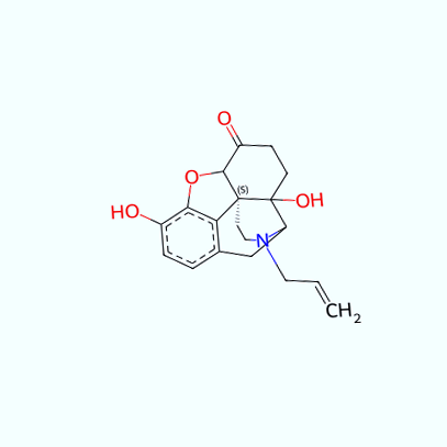 C=CCN1CC[C@]23c4c5ccc(O)c4OC2C(=O)CCC3(O)C1C5